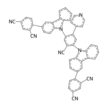 N#Cc1ccc(-c2ccc3c(c2)c2ccccc2n3-c2cc(-c3ccncc3)c(-n3c4ccccc4c4cc(-c5ccc(C#N)cc5C#N)ccc43)cc2C#N)c(C#N)c1